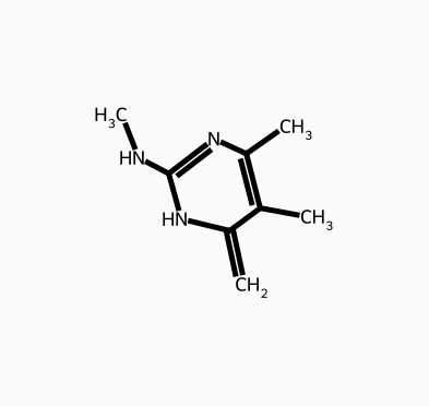 C=C1NC(NC)=NC(C)=C1C